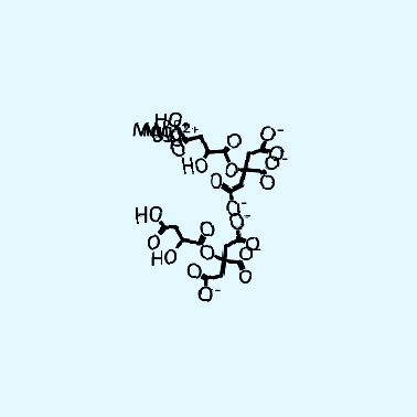 O=C([O-])CC(CC(=O)[O-])(OC(=O)C(O)CC(=O)O)C(=O)[O-].O=C([O-])CC(CC(=O)[O-])(OC(=O)C(O)CC(=O)O)C(=O)[O-].[Mg+2].[Mg+2].[Mg+2]